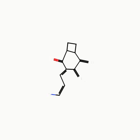 C=C1C(=C)C2CCC2C(=O)/C1=C/C=C\N